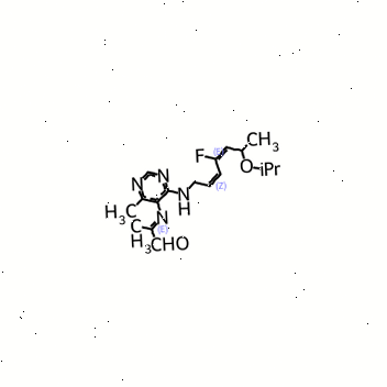 C/C(C=O)=N\c1c(C)ncnc1NC/C=C\C(F)=C/C(C)OC(C)C